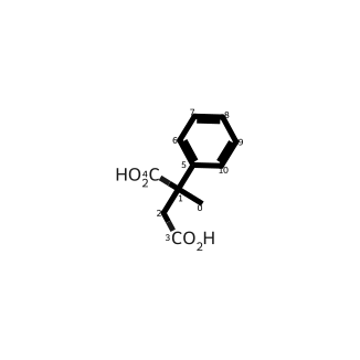 CC(CC(=O)O)(C(=O)O)c1ccccc1